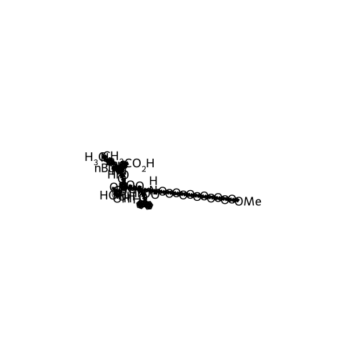 CCCCc1nc2c(NC(=O)OCc3ccc(O[C@H]4O[C@H](CO)[C@@H](O)[C@H](O)[C@@H]4O)c(NC(=O)CCNC(=O)[C@H](CCCCNC(=O)CCOCCOCCOCCOCCOCCOCCOCCOCCOCCOCCOCCOC)NC(=O)OCC4c5ccccc5-c5ccccc54)c3)nc3cc(C(=O)O)ccc3c2n1Cc1ccc(CN(C)C)cc1